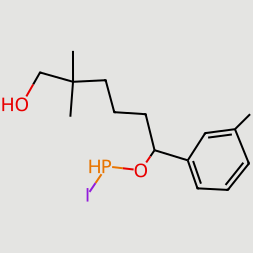 Cc1cccc(C(CCCC(C)(C)CO)OPI)c1